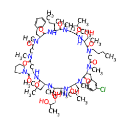 CCCCN1CC(=O)N(C)[C@@H](Cc2cccc(Cl)c2)C(=O)N(C)[C@@H](CC(C)C)C(O)N[C@@H](COC[C@@H](C)O)C(O)N(C)[C@@H](CC(C)C)C(=O)N[C@H](C(=O)N2CCCCC2)CC(=O)N(C)CC(=O)N(C)[C@@H](Cc2ccccc2)C(=O)N[C@@H]([C@@H](C)CC)C(=O)N(C)[C@@H](CC(C)C)C(=O)N[C@@H]([C@@H](C)O)C1=O